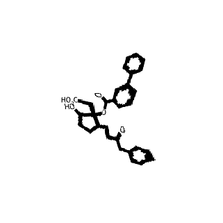 O=C(O)CC1(OC(=O)c2cccc(-c3ccccc3)c2)C(O)CCC1C=CC(=O)Cc1ccccc1